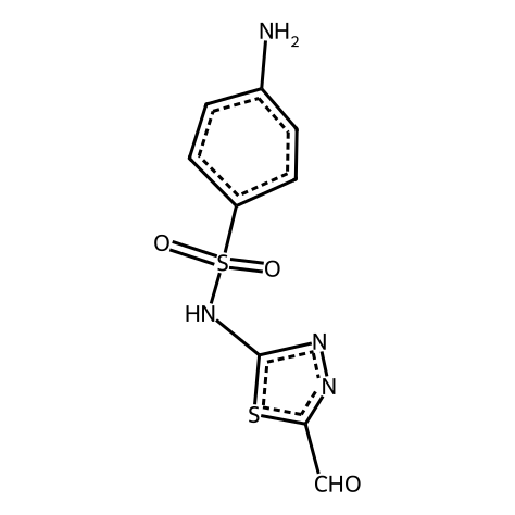 Nc1ccc(S(=O)(=O)Nc2nnc(C=O)s2)cc1